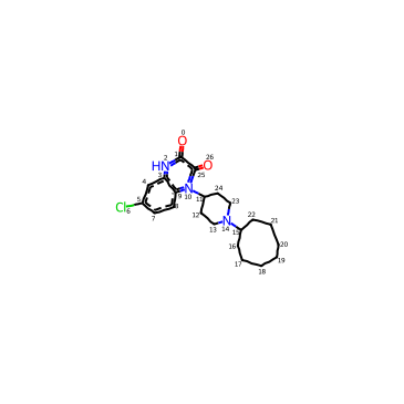 O=c1[nH]c2cc(Cl)ccc2n(C2CCN(C3CCCCCCC3)CC2)c1=O